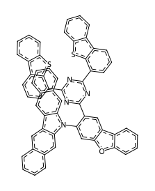 c1ccc2cc3c(cc2c1)c1cc2ccccc2cc1n3-c1cc2oc3ccccc3c2cc1-c1nc(-c2cccc3c2sc2ccccc23)nc(-c2cccc3c2sc2ccccc23)n1